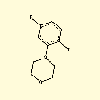 Fc1ccc(F)c(N2CCOCC2)c1